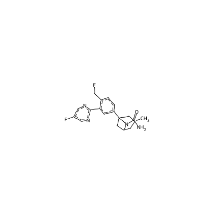 CC1CC2CC(c3ccc(CF)c(-c4ncc(F)cn4)c3)(C1)N2C(N)=O